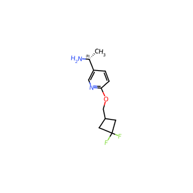 C[C@@H](N)c1ccc(OCC2CC(F)(F)C2)nc1